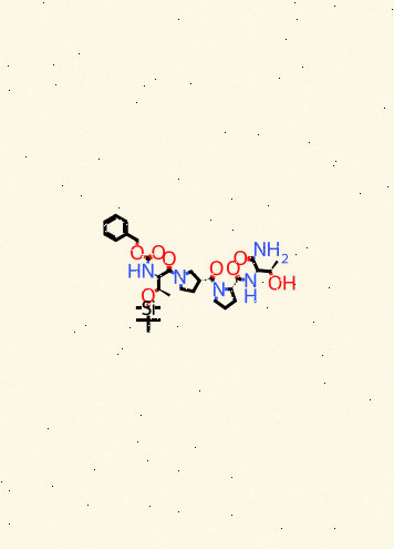 C[C@@H](O)[C@H](NC(=O)[C@@H]1CCCN1C(=O)[C@@H]1CCN(C(=O)[C@@H](NC(=O)OCc2ccccc2)[C@@H](C)O[Si](C)(C)C(C)(C)C)C1)C(N)=O